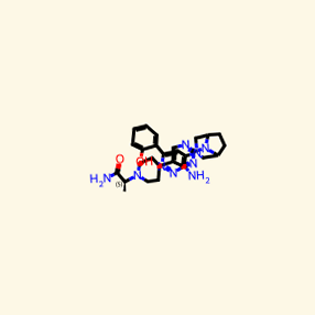 C[C@@H](C(N)=O)N1CCC(c2cnc(N3C4CCC3CN(c3cc(-c5ccccc5O)nnc3N)C4)nc2)CC1